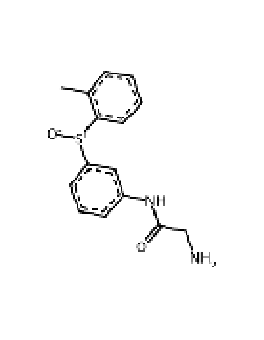 Cc1ccccc1[S+]([O-])c1cccc(NC(=O)CN)c1